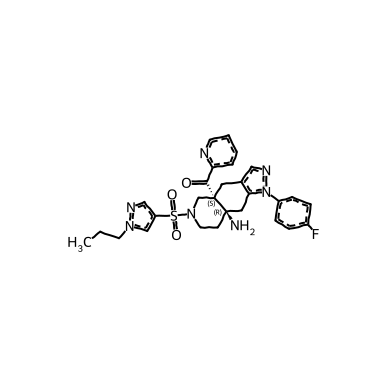 CCCn1cc(S(=O)(=O)N2CC[C@@]3(N)Cc4c(cnn4-c4ccc(F)cc4)C[C@]3(C(=O)c3ccccn3)C2)cn1